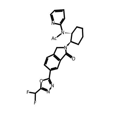 CC(=O)N(c1ccccn1)[C@@H]1CCCC[C@H]1N1Cc2ccc(-c3nnc(C(F)F)o3)cc2C1=O